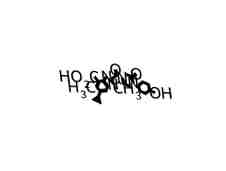 Cc1c(C2CC2)cc2c(nc(C(=O)N3CCN(C4CCC(O)CC4)C(=O)C3)n2C)c1C(=O)O